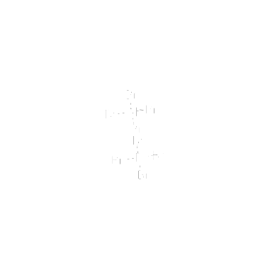 Br[P+](Br)(Br)Br.[Br][Al-]([Br])([Br])[Br]